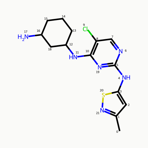 Cc1cc(Nc2ncc(Cl)c(NC3CCCC(N)C3)n2)sn1